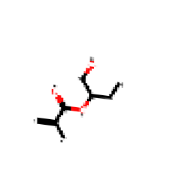 C=C(C)C(=O)OC(CC)C[O]